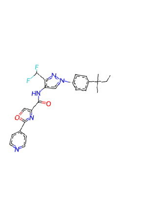 CCC(C)(C)c1ccc(-n2cc(NC(=O)c3coc(-c4ccncc4)n3)c(C(F)F)n2)cc1